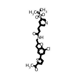 CC(=O)c1ccc(-c2cc(Cl)c3c(c2)CC(CNC(=O)C=Cc2cncc(S(=O)(=O)N(C)C)c2)O3)s1